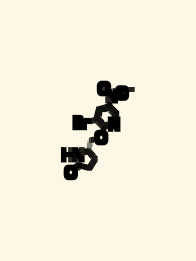 O=C1CC[C@@H](COc2ncc([N+](=O)[O-])cc2Br)N1